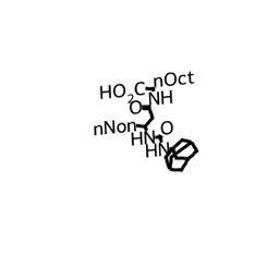 CCCCCCCCCC(CC(=O)NC(CCCCCCCC)C(=O)O)NC(=O)NC12CC3CC(CC(C3)C1)C2